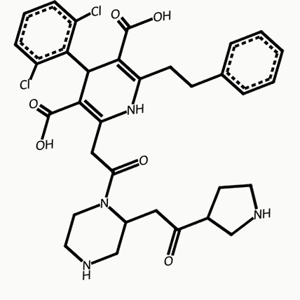 O=C(O)C1=C(CCc2ccccc2)NC(CC(=O)N2CCNCC2CC(=O)C2CCNC2)=C(C(=O)O)C1c1c(Cl)cccc1Cl